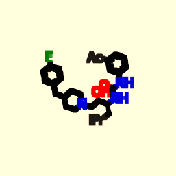 CC(=O)c1cccc(NC(=O)N[C@@H](CC(C)C)[C@@H](O)CN2CCC(Cc3ccc(F)cc3)CC2)c1